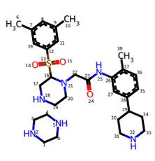 C1CNCCN1.Cc1cc(C)cc(S(=O)(=O)C2CNCCN2CC(=O)Nc2cc(C3CCNCC3)ccc2C)c1